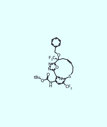 CC(C)(C)OC(=O)Nc1cc(C(F)(F)F)c2nc1-c1nnc(o1)[C@@](OCc1ccccc1)(C(F)(F)F)CC=CCCS2